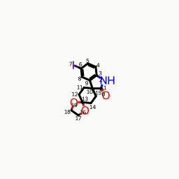 O=C1Nc2ccc(I)cc2C12CCC1(CC2)OCCO1